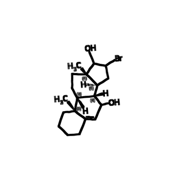 C[C@]12CCCCC1=CC(O)[C@@H]1[C@H]2CC[C@]2(C)C(O)C(Br)C[C@@H]12